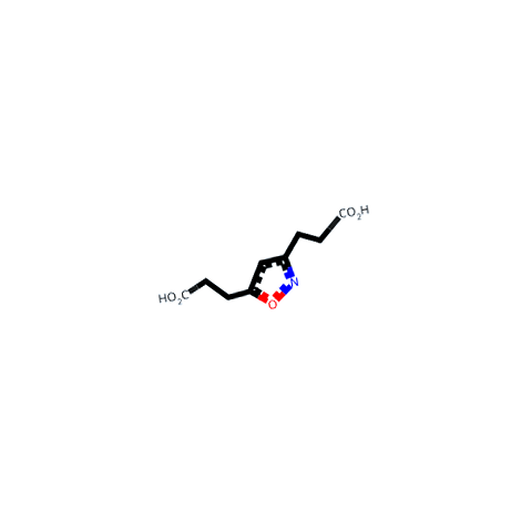 O=C(O)CCc1cc(CCC(=O)O)on1